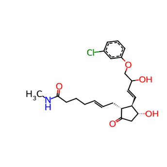 CNC(=O)CCCC=CC[C@H]1C(=O)C[C@@H](O)[C@@H]1C=CC(O)COc1cccc(Cl)c1